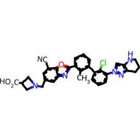 Cc1c(-c2nc3cc(CN4CC(C(=O)O)C4)cc(C#N)c3o2)cccc1-c1cccc(-n2cc3c(n2)CCCN3)c1Cl